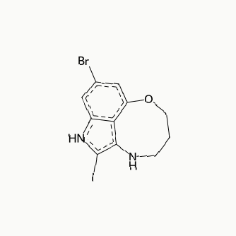 Brc1cc2c3c(c(I)[nH]c3c1)NCCCO2